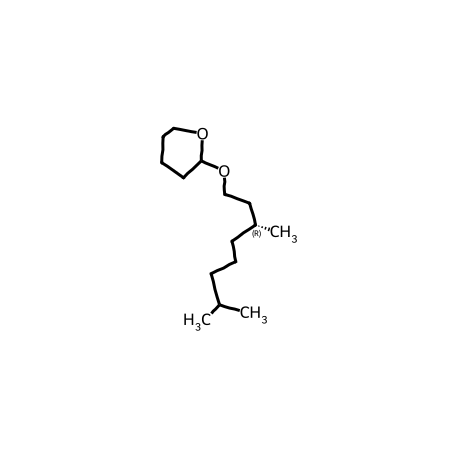 CC(C)CCC[C@@H](C)CCOC1CCCCO1